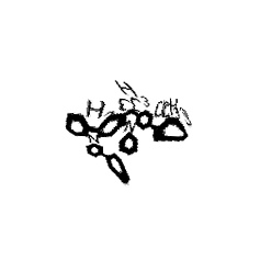 Cc1ccccc1-c1cc2c(cc1C)C(C)(C)c1cc3c4ccccc4n(-c4cccc(-c5ccccc5)c4)c3cc1N2c1ccccc1